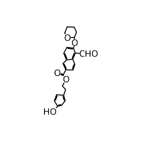 O=Cc1c(OC2CCCCO2)ccc2cc(C(=O)OCCc3ccc(O)cc3)ccc12